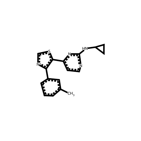 Cc1cccc(-c2ncsc2-c2ccnc(NC3CC3)n2)c1